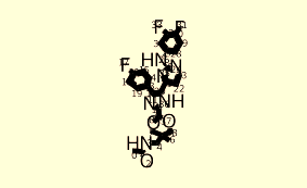 CC(=O)NCC1(C)COC(c2nc(-c3ccc(F)cc3)c(-c3ccnc(Nc4ccc(F)c(F)c4)n3)[nH]2)OC1